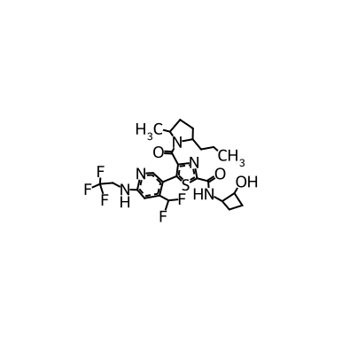 CCCC1CCC(C)N1C(=O)c1nc(C(=O)NC2CCC2O)sc1-c1cnc(NCC(F)(F)F)cc1C(F)F